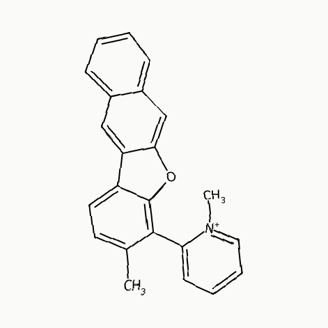 Cc1ccc2c(oc3cc4ccccc4cc32)c1-c1cccc[n+]1C